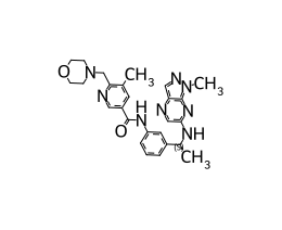 Cc1cc(C(=O)Nc2cccc([C@H](C)Nc3cnc4cnn(C)c4n3)c2)cnc1CN1CCOCC1